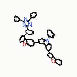 c1ccc(-c2nc(-c3ccccc3)nc(-c3cccc(-c4cccc5oc6ccc(-c7ccc8c(c7)c7cc(-c9ccc%10oc%11ccccc%11c%10c9)ccc7n8-c7ccccc7)cc6c45)c3)n2)cc1